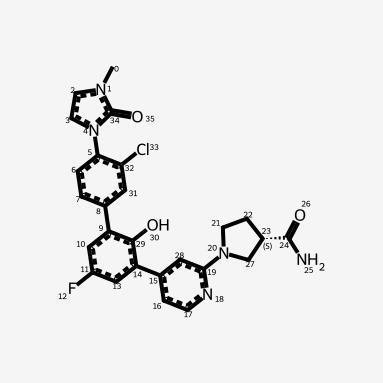 Cn1ccn(-c2ccc(-c3cc(F)cc(-c4ccnc(N5CC[C@H](C(N)=O)C5)c4)c3O)cc2Cl)c1=O